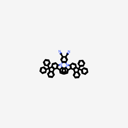 N#Cc1cc(-n2c3ccccc3c3c4c(ccc32)C(c2ccccc2)(c2ccccc2)c2ccccc2-4)c(-n2c3ccccc3c3c4c(ccc32)C(c2ccccc2)(c2ccccc2)c2ccccc2-4)cc1C#N